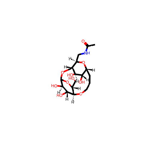 CC(=O)NC[C@H]1O[C@@H]2CCCO[C@H]3[C@H](O)[C@@H](O)C(O[C@H]1[C@H](O)[C@H]2O)O[C@@H]3CO